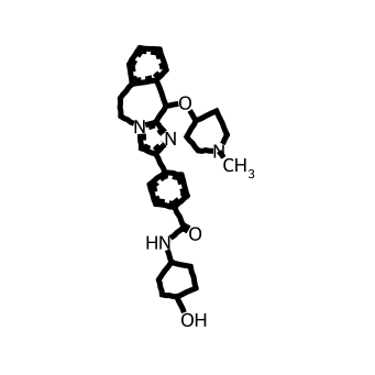 CN1CCC(OC2c3ccccc3CCn3cc(-c4ccc(C(=O)NC5CCC(O)CC5)cc4)nc32)CC1